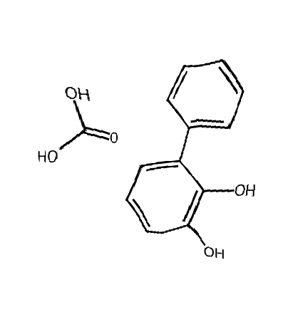 O=C(O)O.Oc1cccc(-c2ccccc2)c1O